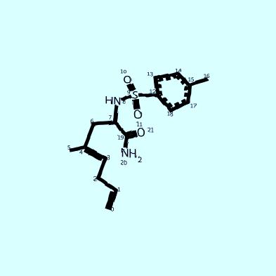 C=CCC=C(C)CC(NS(=O)(=O)c1ccc(C)cc1)C(N)=O